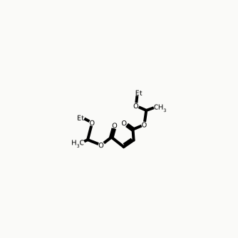 CCOC(C)OC(=O)/C=C\C(=O)OC(C)OCC